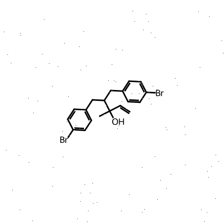 C=CC(C)(O)C(Cc1ccc(Br)cc1)Cc1ccc(Br)cc1